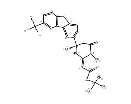 CN1C(=O)C[C@@](C)(c2ccc3sc4ccc(C(F)(F)F)cc4c3c2)N/C1=N/C(=O)OC(C)(C)C